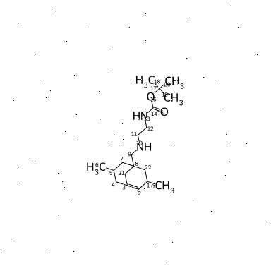 CC1C=C2CC(C)CC(CNCCNC(=O)OC(C)(C)C)(C2)C1